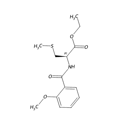 CCOC(=O)[C@H](CSC)NC(=O)c1ccccc1OC